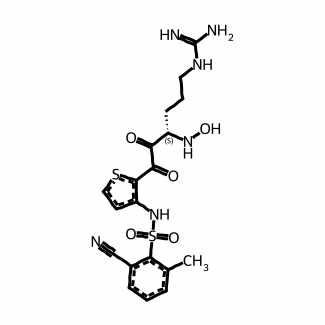 Cc1cccc(C#N)c1S(=O)(=O)Nc1ccsc1C(=O)C(=O)[C@H](CCCNC(=N)N)NO